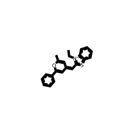 CC[n+]1c(/C=C2\C=C(C)OC(c3ccccc3)=C2)sc2ccccc21